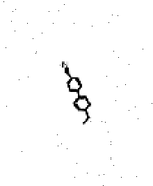 CCC1C=CC(c2ccc(C#N)cc2)=CC1